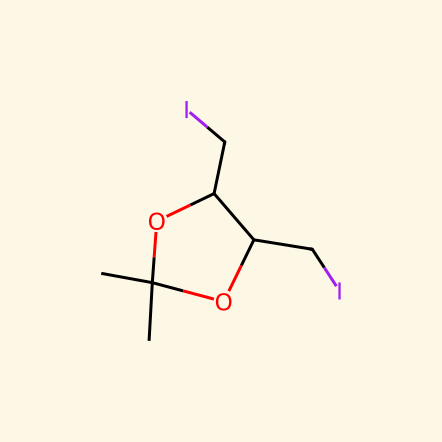 CC1(C)OC(CI)C(CI)O1